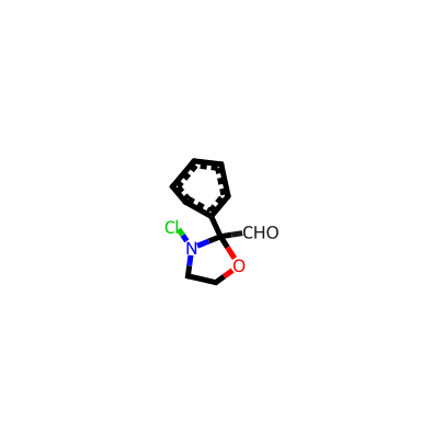 O=CC1(c2ccccc2)OCCN1Cl